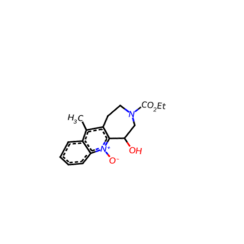 CCOC(=O)N1CCc2c(C)c3ccccc3[n+]([O-])c2C(O)C1